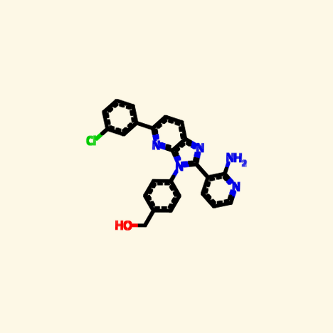 Nc1ncccc1-c1nc2ccc(-c3cccc(Cl)c3)nc2n1-c1ccc(CO)cc1